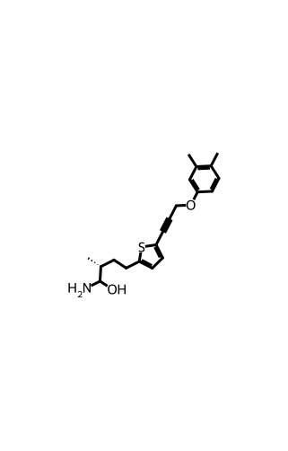 Cc1ccc(OCC#Cc2ccc(CC[C@@H](C)C(N)O)s2)cc1C